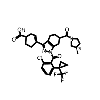 C[C@@H]1CCN(C(=O)C2CCc3c(C4=CCC(C(=O)O)CC4)nn(C(=O)c4c(Cl)cccc4C4(C(F)(F)F)CC4)c3C2)C1